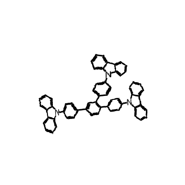 c1ccc2c(c1)c1ccccc1n2-c1ccc(-c2ccc(-c3ccc(-n4c5ccccc5c5ccccc54)cc3)c(-c3ccc(-n4c5ccccc5c5ccccc54)cc3)c2)cc1